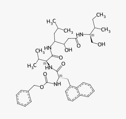 CCC(C)[C@@H](CO)NC(=O)CC(O)C(CC(C)C)NC(=O)[C@@H](NC(=O)[C@H](Cc1cccc2ccccc12)NC(=O)OCc1ccccc1)C(C)C